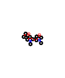 c1ccc(N(c2ccc(-c3ccc4oc5cccc(N(c6ccccc6)c6ccccc6)c5c4c3)cc2)c2ccc3c(c2)C2(c4ccccc4Oc4ccccc42)c2ccccc2-3)cc1